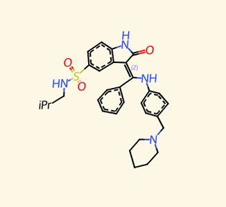 CC(C)CNS(=O)(=O)c1ccc2c(c1)/C(=C(/Nc1ccc(CN3CCCCC3)cc1)c1ccccc1)C(=O)N2